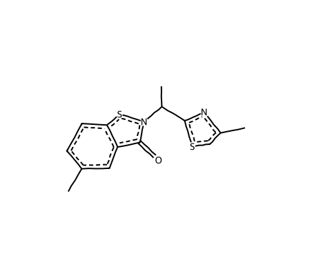 Cc1ccc2sn(C(C)c3nc(C)cs3)c(=O)c2c1